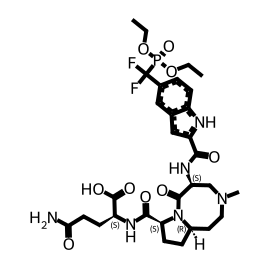 CCOP(=O)(OCC)C(F)(F)c1ccc2[nH]c(C(=O)N[C@H]3CN(C)CC[C@H]4CC[C@@H](C(=O)N[C@@H](CCC(N)=O)C(=O)O)N4C3=O)cc2c1